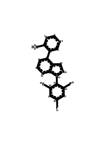 Nc1ncncc1-c1ccnc2c1cnn2-c1c(F)cc(F)cc1F